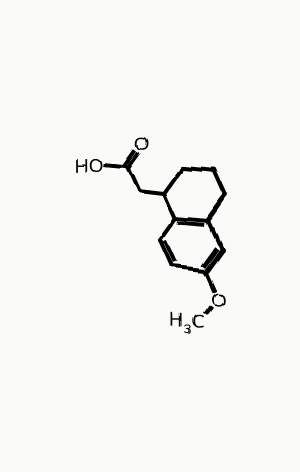 COc1ccc2c(c1)CCCC2CC(=O)O